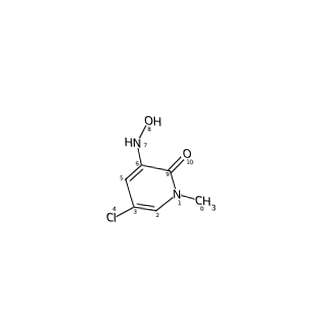 Cn1cc(Cl)cc(NO)c1=O